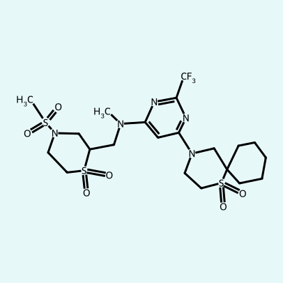 CN(CC1CN(S(C)(=O)=O)CCS1(=O)=O)c1cc(N2CCS(=O)(=O)C3(CCCCC3)C2)nc(C(F)(F)F)n1